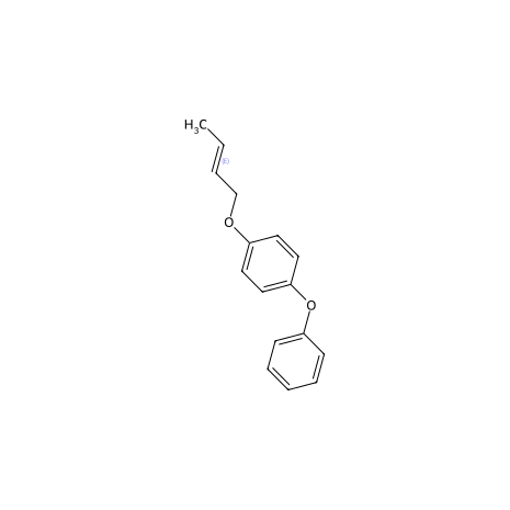 C/C=C/COc1ccc(Oc2ccccc2)cc1